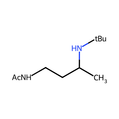 CC(=O)NCCC(C)NC(C)(C)C